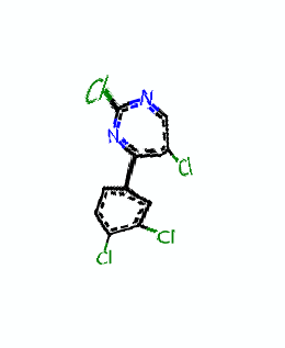 Clc1ncc(Cl)c(-c2ccc(Cl)c(Cl)c2)n1